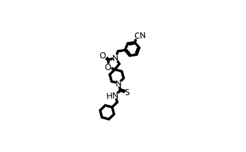 N#Cc1cccc(CN2CC3(CCN(C(=S)NCC4CCCCC4)CC3)OC2=O)c1